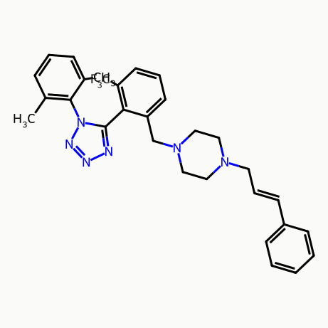 Cc1cccc(C)c1-n1nnnc1-c1c(CN2CCN(CC=Cc3ccccc3)CC2)cccc1C(F)(F)F